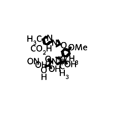 COc1ccc([C@@H]2CN(C(=O)C(O)CO)C[C@@]2(C)[C@@H](C)O)cc1OC1CN(c2ncc(C)cc2C(=O)O)C1.O=NO